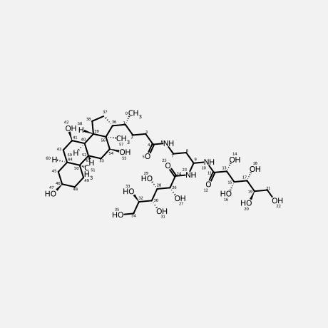 C[C@H](CCC(=O)NCCC(NC(=O)[C@H](O)[C@@H](O)[C@H](O)[C@H](O)CO)NC(=O)[C@H](O)[C@@H](O)[C@H](O)[C@H](O)CO)[C@H]1CC[C@H]2[C@@H]3[C@H](O)C[C@@H]4C[C@H](O)CC[C@]4(C)[C@H]3C[C@H](O)[C@]12C